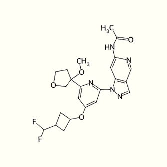 COC1(c2cc(OC3CC(C(F)F)C3)cc(-n3ncc4cnc(NC(C)=O)cc43)n2)CCOC1